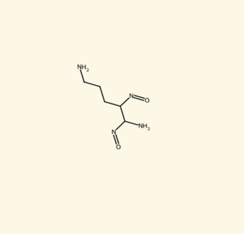 NCCCC(N=O)C(N)N=O